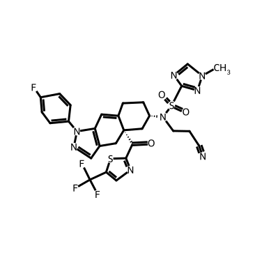 Cn1cnc(S(=O)(=O)N(CCC#N)[C@H]2CCC3=Cc4c(cnn4-c4ccc(F)cc4)C[C@]3(C(=O)c3ncc(C(F)(F)F)s3)C2)n1